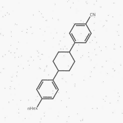 CCCCCCc1ccc(C2CCC(c3ccc(C#N)cc3)CC2)cc1